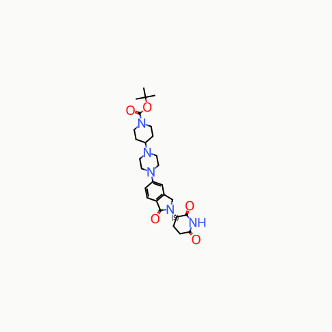 CC(C)(C)OC(=O)N1CCC(N2CCN(c3ccc4c(c3)CN([C@H]3CCC(=O)NC3=O)C4=O)CC2)CC1